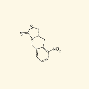 O=[N+]([O-])c1cccc2c1CC1CSC(=S)N1C2